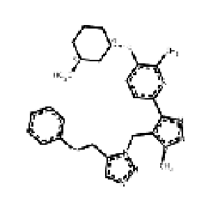 Cc1nc(-c2nnn(C)c2Cn2nncc2COc2ccccc2)ccc1O[C@H]1CCC[C@H](C(=O)O)C1